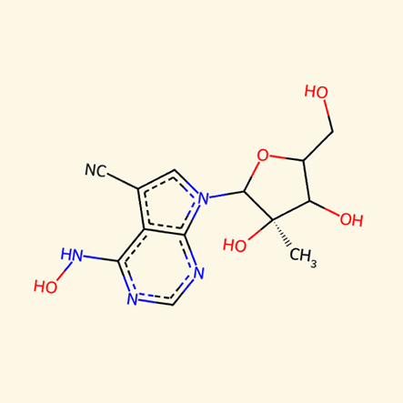 C[C@@]1(O)C(O)C(CO)OC1n1cc(C#N)c2c(NO)ncnc21